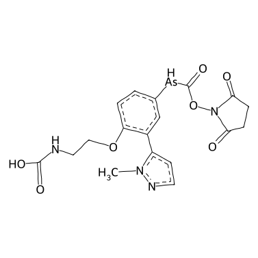 Cn1nccc1-c1cc([AsH]C(=O)ON2C(=O)CCC2=O)ccc1OCCNC(=O)O